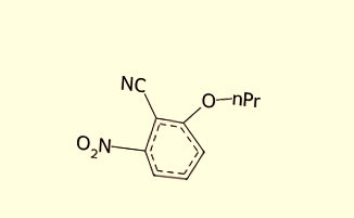 C[CH]COc1cccc([N+](=O)[O-])c1C#N